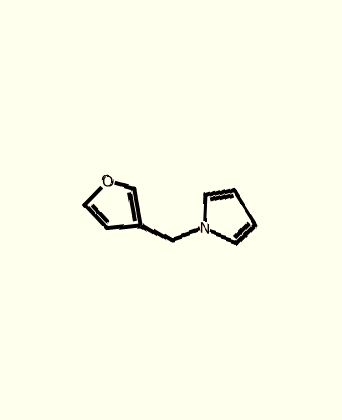 c1ccn(Cc2ccoc2)c1